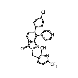 N#Cc1nc(C(F)(F)F)ccc1Cn1nc2c(-c3ccncc3)c(-c3ccc(Cl)cc3)ccn2c1=O